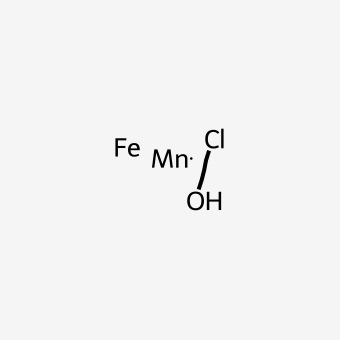 OCl.[Fe].[Mn]